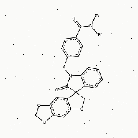 CC(C)N(C(=O)c1ccc(CN2C(=O)C3(COc4cc5c(cc43)OCO5)c3ccccc32)cc1)C(C)C